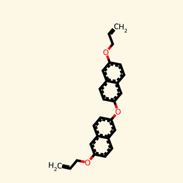 C=CCOc1ccc2cc(Oc3ccc4cc(OCC=C)ccc4c3)ccc2c1